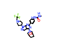 CNC(=O)Nc1ccc(-c2nc(N3CC4CCC(C3)O4)c3cnn(C4CCN(CC(F)(F)F)CC4)c3n2)cc1